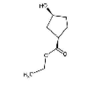 CCOC(=O)[C@@H]1CC[C@H](O)C1